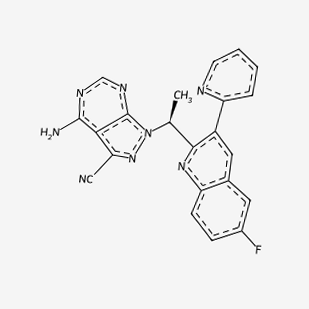 C[C@@H](c1nc2ccc(F)cc2cc1-c1ccccn1)n1nc(C#N)c2c(N)ncnc21